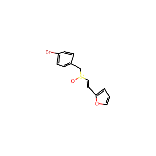 [O-][S+](C=Cc1ccco1)Cc1ccc(Br)cc1